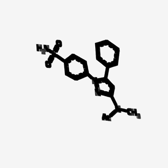 CC(=O)N(C)c1cc(-c2ccccc2)n(-c2ccc(S(N)(=O)=O)cc2)n1